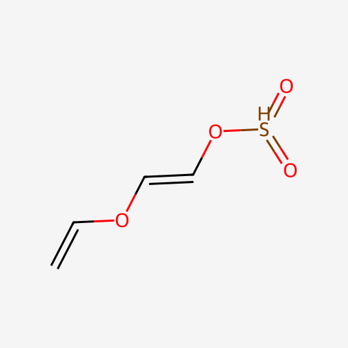 C=COC=CO[SH](=O)=O